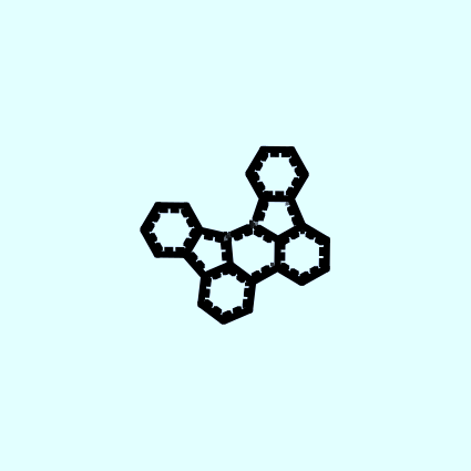 c1ccc2c(c1)c1cccc3c4cccc5c6ccccc6n(c54)n2c13